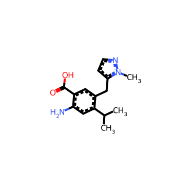 CC(C)c1cc(N)c(C(=O)O)cc1Cc1ccnn1C